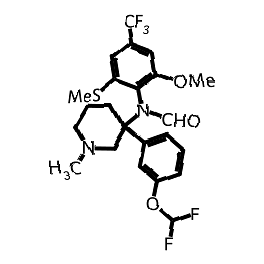 COc1cc(C(F)(F)F)cc(SC)c1N(C=O)C1(c2cccc(OC(F)F)c2)CCCN(C)C1